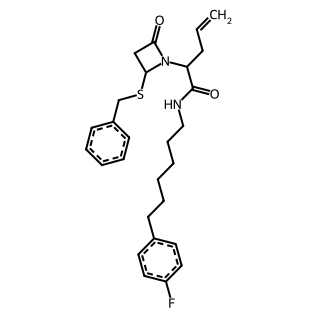 C=CCC(C(=O)NCCCCCCc1ccc(F)cc1)N1C(=O)CC1SCc1ccccc1